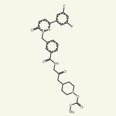 CC(C)(C)OC(=O)ON1CCC(CC(=O)CNC(=O)c2cccc(Cn3nc(-c4cc(F)cc(F)c4)ccc3=O)c2)CC1